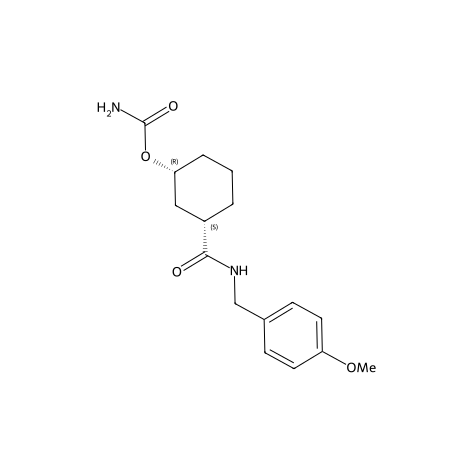 COc1ccc(CNC(=O)[C@H]2CCC[C@@H](OC(N)=O)C2)cc1